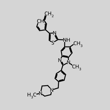 C=C/C=C(\C=C/C)c1csc(Nc2cc3nc(-c4ccc(CN5CCN(C)CC5)cc4)n(C)c3cc2C)n1